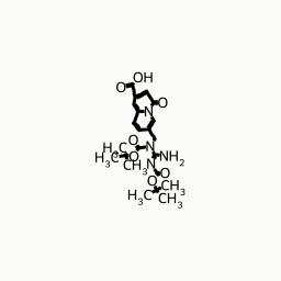 CC(C)(C)OC(=O)/N=C(\N)N(Cc1ccc2cc(C(=O)O)cc(=O)n2c1)C(=O)OC(C)(C)C